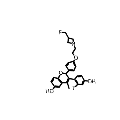 CC1=C(c2ccc(O)cc2F)C(c2ccc(OCCN3CC(CF)C3)cc2)Oc2ccc(O)cc21